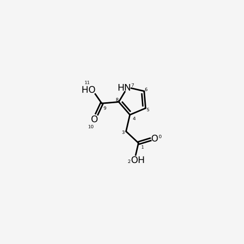 O=C(O)Cc1cc[nH]c1C(=O)O